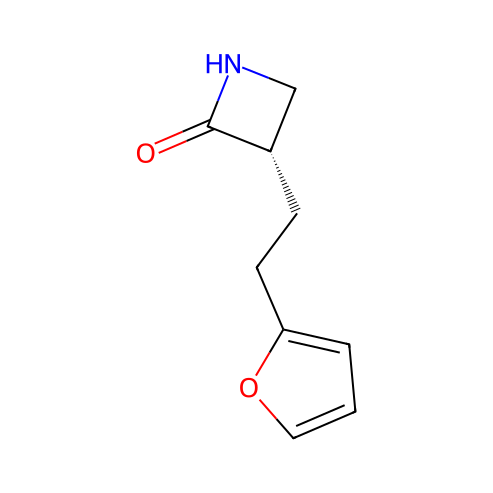 O=C1NC[C@@H]1CCc1ccco1